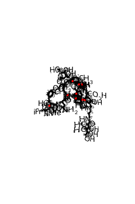 CCCCOc1ccc(CNC2(C)C[C@H](OCC3(O)C[C@H](Oc4c5cc6cc4Oc4ccc(cc4Cl)[C@@H](O)[C@@H](NC(=O)[C@@H](CC(C)C)NC)C(=O)NC(CC(N)=O)C(=O)N[C@H]6C(=O)N[C@H]4C(=O)N[C@H](C(=O)N[C@H](C(=O)O)c6cc(O)c(CNCCCNC(=O)[C@H](O)[C@@H](O)[C@H](O)[C@H](O)CO)c(O)c6-c6cc4ccc6O)[C@H](O)c4ccc(c(Cl)c4)O5)O[C@H](CO)C3O)C[C@@H](C)[C@H]2O)cc1